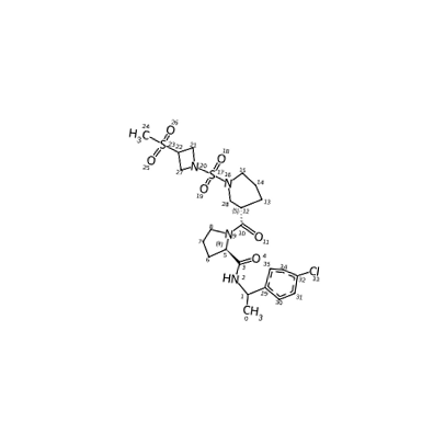 CC(NC(=O)[C@H]1CCCN1C(=O)[C@H]1CCCN(S(=O)(=O)N2CC(S(C)(=O)=O)C2)C1)c1ccc(Cl)cc1